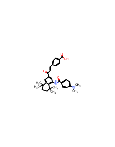 CN(C)c1ccc(C(=O)Nc2cc(C(=O)C=Cc3ccc(C(=O)O)cc3)cc3c2C(C)(C)CCC3(C)C)cc1